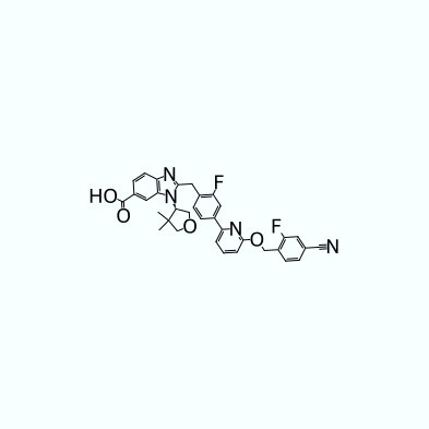 CC1(C)COC[C@@H]1n1c(Cc2ccc(-c3cccc(OCc4ccc(C#N)cc4F)n3)cc2F)nc2ccc(C(=O)O)cc21